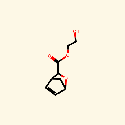 O=C(OCCO)C1OC2C=CC1C2